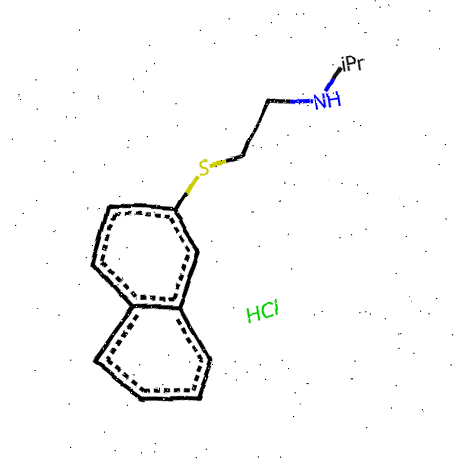 CC(C)NCCSc1ccc2ccccc2c1.Cl